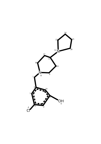 Oc1cc(Cl)cc(CN2CCC(N3CCCC3)CC2)c1